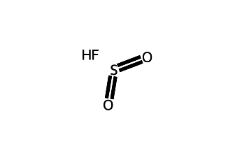 F.O=S=O